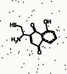 NC(CS)C1=CC(=O)c2cccc(O)c2C1=O